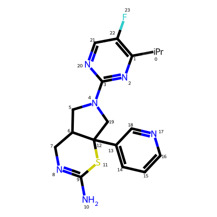 CC(C)c1nc(N2CC3CN=C(N)SC3(c3cccnc3)C2)ncc1F